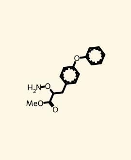 COC(=O)C(Cc1ccc(Oc2ccccc2)cc1)ON